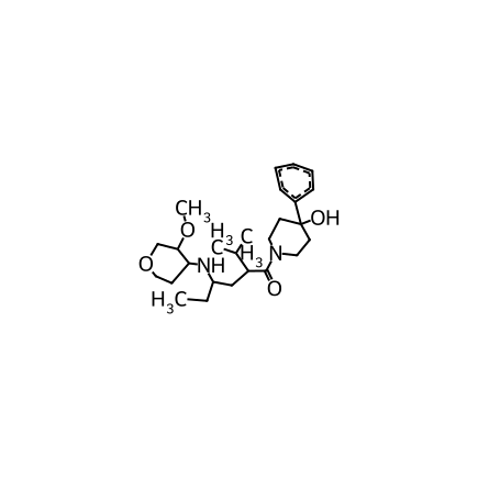 CCC(CC(C(=O)N1CCC(O)(c2ccccc2)CC1)C(C)C)NC1CCOCC1OC